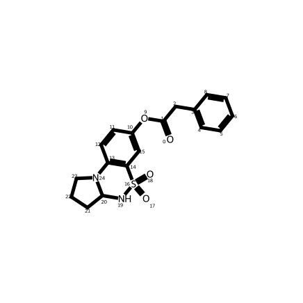 O=C(Cc1ccccc1)Oc1ccc2c(c1)S(=O)(=O)NC1CCCN21